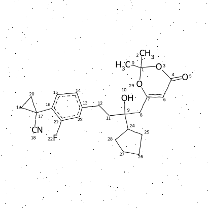 CC1(C)OC(=O)C=C(CC(O)(CCc2ccc(C3(C#N)CC3)c(F)c2)C2CCCC2)O1